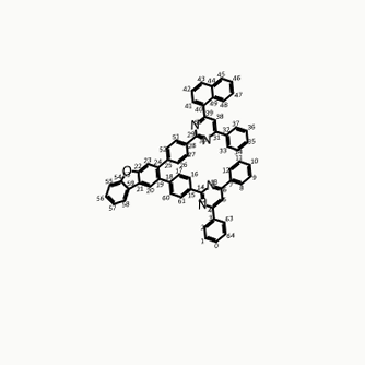 c1ccc(-c2cc(-c3ccccc3)nc(-c3ccc(-c4cc5c(cc4-c4ccc(-c6nc(-c7ccccc7)cc(-c7cccc8ccccc78)n6)cc4)oc4ccccc45)cc3)n2)cc1